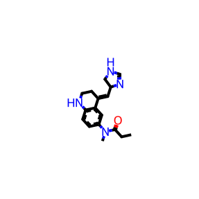 CCC(=O)N(C)c1ccc2c(c1)/C(=C/C1CNC=N1)CCN2